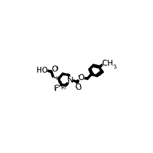 Cc1ccc(COC(=O)N2CC[C@@H](CC(=O)O)[C@@H](F)C2)cc1